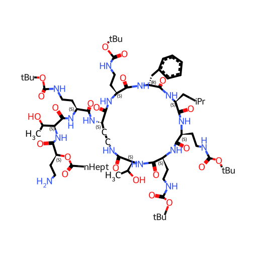 CCCCCCCC(=O)O[C@@H](CCN)C(=O)N[C@H](C(=O)N[C@@H](CCNC(=O)OC(C)(C)C)C(=O)N[C@H]1CCNC(=O)[C@H](C(C)O)NC(=O)[C@H](CCNC(=O)OC(C)(C)C)NC(=O)[C@H](CCNC(=O)OC(C)(C)C)NC(=O)[C@H](CC(C)C)NC(=O)[C@@H](Cc2ccccc2)NC(=O)[C@H](CCNC(=O)OC(C)(C)C)NC1=O)C(C)O